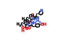 CC(C)[C@H](NC(=O)[C@H](Cc1ccc(O)cc1)NC(=O)[C@@H](NC(=O)[C@@H](N)Cc1cccnc1)C(C)C)C(=O)O